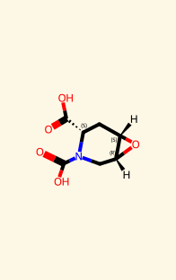 O=C(O)[C@@H]1C[C@@H]2O[C@@H]2CN1C(=O)O